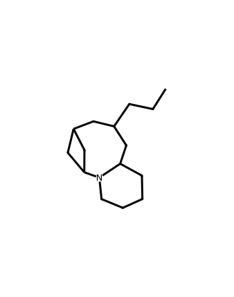 CCCC1CC2CC(C2)N2CCCCC2C1